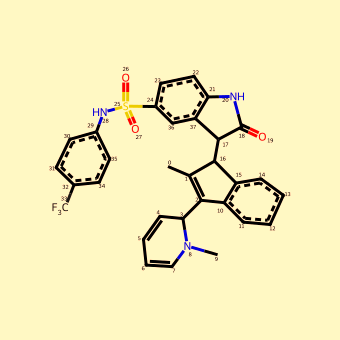 CC1=C(C2C=CC=CN2C)c2ccccc2C1C1C(=O)Nc2ccc(S(=O)(=O)Nc3ccc(C(F)(F)F)cc3)cc21